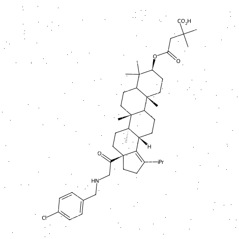 CC(C)C1=C2[C@H]3CCC4[C@@]5(C)CC[C@H](OC(=O)CC(C)(C)C(=O)O)C(C)(C)C5CC[C@@]4(C)[C@]3(C)CC[C@@]2(C(=O)CNCc2ccc(Cl)cc2)CC1